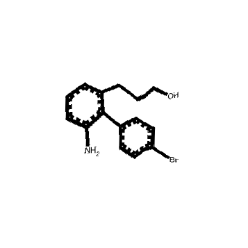 Nc1cccc(CCCO)c1-c1ccc(Br)cc1